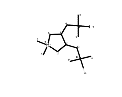 CC(C)(I)CC1C[N+](C)(C)CC1CC(C)(C)I